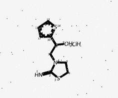 Cl.N=C1SCCN1CC(O)c1cccs1